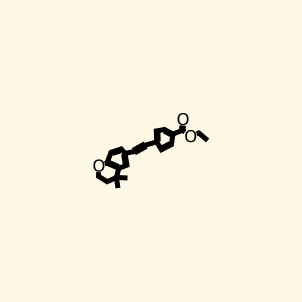 CCOC(=O)c1ccc(C#Cc2ccc3c(c2)C(C)(C)CCO3)cc1